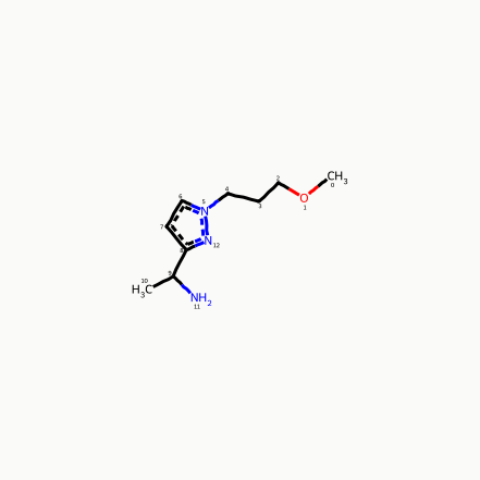 COCCCn1ccc(C(C)N)n1